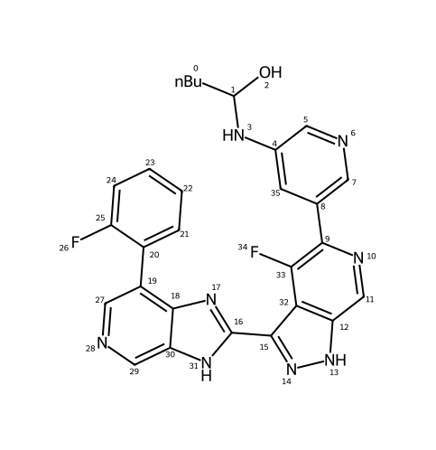 CCCCC(O)Nc1cncc(-c2ncc3[nH]nc(-c4nc5c(-c6ccccc6F)cncc5[nH]4)c3c2F)c1